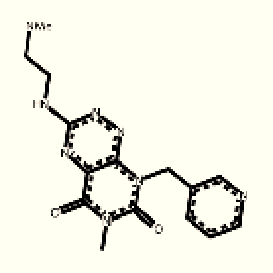 CNCCNc1nnc2c(n1)c(=O)n(C)c(=O)n2Cc1cccnc1